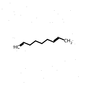 [CH]=CCCCCC=C[CH2]